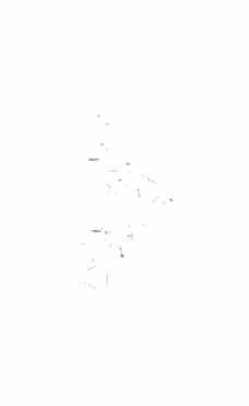 Cc1nn(-c2cc(OC3CN(C(=O)N4N=CCC4c4ccccc4)C3)c(F)cn2)c(C)c1C(=O)NCCO